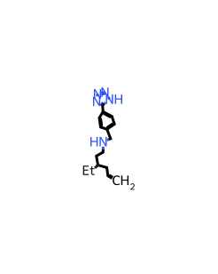 C=CCC(CC)CCNCc1ccc(-c2nnn[nH]2)cc1